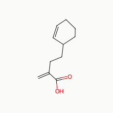 C=C(CCC1C=CCCC1)C(=O)O